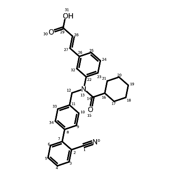 N#Cc1ccccc1-c1ccc(CN(C(=O)C2CCCCC2)c2cccc(C=CC(=O)O)c2)cc1